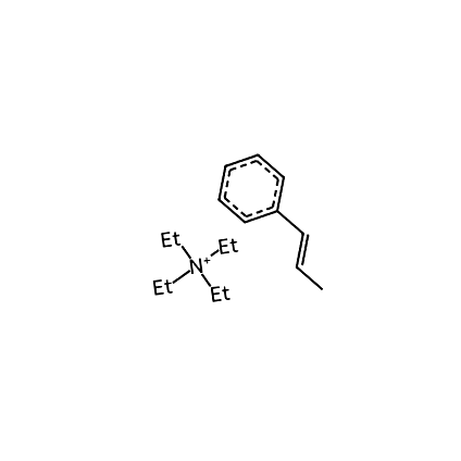 CC=Cc1ccccc1.CC[N+](CC)(CC)CC